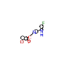 COc1cc2c(cc1OCCCN1CCC(c3[nH]cc4cc(F)ccc34)CC1)CCCC2=O